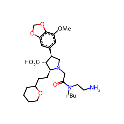 CCCCN(CCN)C(=O)CN1C[C@H](c2cc(OC)c3c(c2)OCO3)[C@@H](C(=O)O)[C@@H]1CCC1CCCCO1